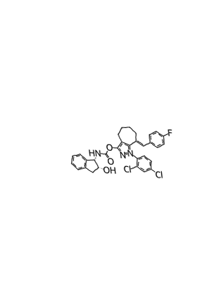 O=C(N[C@H]1c2ccccc2C[C@H]1O)Oc1nn(-c2ccc(Cl)cc2Cl)c2c1CCCC/C2=C\c1ccc(F)cc1